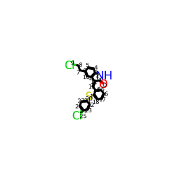 O=C1Nc2ccc(CCCl)cc2C1=Cc1ccccc1Sc1ccc(Cl)cc1